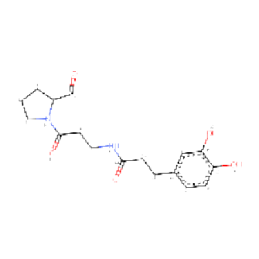 O=CC1CCCN1C(=O)CCNC(=O)CCc1ccc(O)c(O)c1